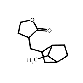 CC1C2CCC1C(CC1CCOC1=O)C2